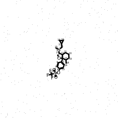 COC1(c2ccc(OS(=O)(=O)C(F)(F)F)cc2)C(C)CCCC1CN(C)CC1CC1